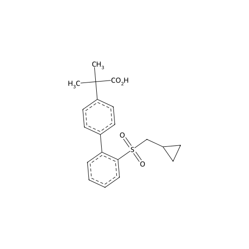 CC(C)(C(=O)O)c1ccc(-c2ccccc2S(=O)(=O)CC2CC2)cc1